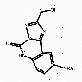 CC(=O)Nc1ccc2[nH]c(=O)n3nc(CO)nc3c2c1